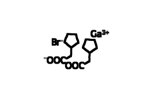 O=C([O-])CC1CCCC1.O=C([O-])CC1CCCC1.[Br-].[Ga+3]